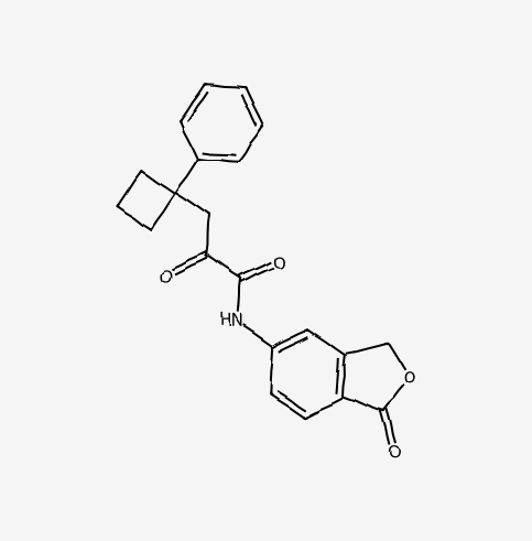 O=C(CC1(c2ccccc2)CCC1)C(=O)Nc1ccc2c(c1)COC2=O